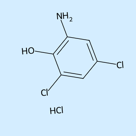 Cl.Nc1cc(Cl)cc(Cl)c1O